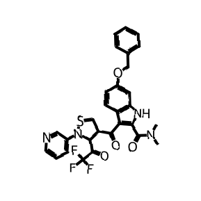 CN(C)C(=O)c1[nH]c2cc(OCc3ccccc3)ccc2c1C(=O)C1CSN(c2cccnc2)C1C(=O)C(F)(F)F